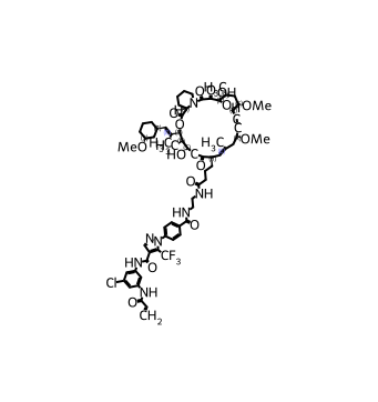 C=CC(=O)Nc1cc(Cl)cc(NC(=O)c2cnn(-c3ccc(C(=O)NCCNC(=O)CCC[C@@H]4/C=C(\C)C[C@H](OC)CC[C@H]5O[C@@](O)(C(=O)C(=O)N6CCCC[C@H]6C(=O)O[C@H](/C(C)=C/[C@@H]6CCC[C@H](OC)C6)[C@H](C)[C@@H](O)CC4=O)[C@H](C)C[C@@H]5OC)cc3)c2C(F)(F)F)c1